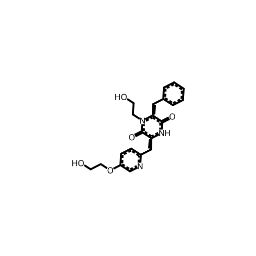 O=c1[nH]c(=Cc2ccc(OCCO)cn2)c(=O)n(CCO)c1=Cc1ccccc1